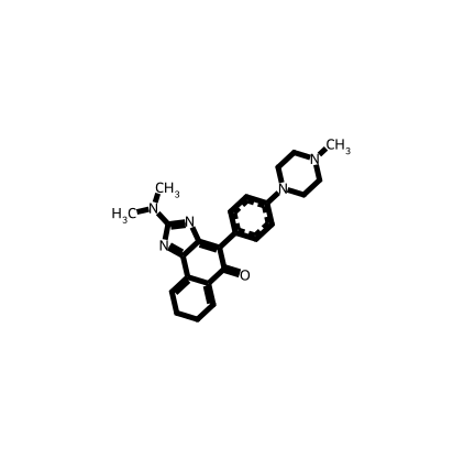 CN1CCN(c2ccc(C3=C4N=C(N(C)C)N=C4C4=CCCC=C4C3=O)cc2)CC1